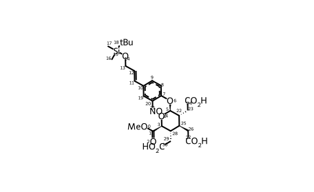 COC(=O)[C@H]1O[C@@H](Oc2ccc(/C=C/CO[Si](C)(C)C(C)(C)C)cc2[N+](=O)[O-])[C@H](CC(=O)O)[C@@H](CC(=O)O)[C@@H]1CC(=O)O